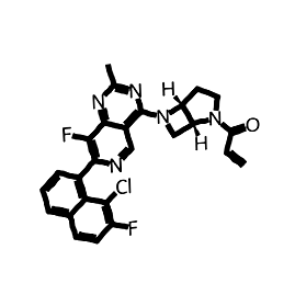 C=CC(=O)N1CC[C@@H]2[C@H]1CN2c1nc(C)nc2c(F)c(-c3cccc4ccc(F)c(Cl)c34)ncc12